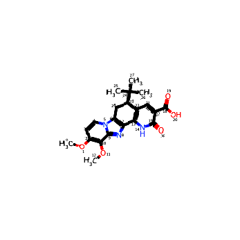 COc1ccn2c3c(nc2c1OC)-c1[nH]c(=O)c(C(=O)O)cc1C(C(C)(C)C)C3